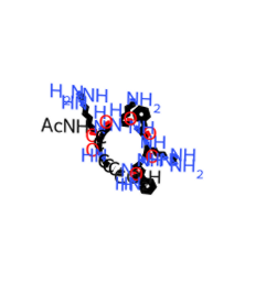 CC(=O)N[C@@H](CCCNC(=N)N)C(=O)NC1CCC(=O)NCCCC(C(=O)O)NC(=O)[C@H](Cc2c[nH]c3ccccc23)NC(=O)[C@H](CCCNC(=N)N)NC(=O)C(Cc2ccccc2)NC(=O)[C@H](CCCCN)NC1=O